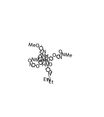 CCN(CC)CCn1ccc2cc(NC(=O)Nc3ccc(Oc4ccnc(C(=O)NC)c4)cc3F)ccc21.CNC(=O)c1cc(Oc2ccc(NC(=O)Nc3nc4ccc(OC)cc4s3)c(F)c2)ccn1